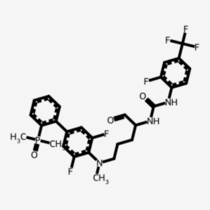 CN(CCCC(C=O)NC(=O)Nc1ccc(C(F)(F)F)cc1F)c1c(F)cc(-c2ccccc2P(C)(C)=O)cc1F